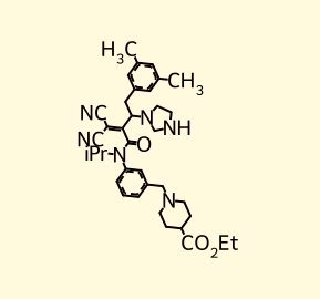 CCOC(=O)C1CCN(Cc2cccc(N(C(=O)C(=C(C#N)C#N)C(Cc3cc(C)cc(C)c3)N3CCNC3)C(C)C)c2)CC1